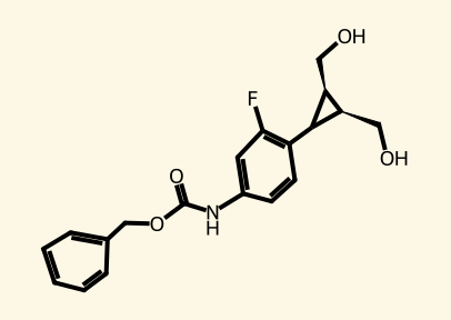 O=C(Nc1ccc(C2[C@@H](CO)[C@H]2CO)c(F)c1)OCc1ccccc1